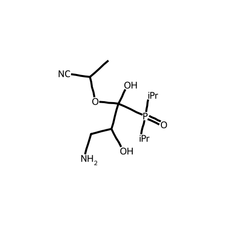 CC(C#N)OC(O)(C(O)CN)P(=O)(C(C)C)C(C)C